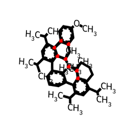 COc1ccc(-c2c(C(C)C)cc(C(C)C)c(-c3cccc(-c4c(C(C)C)cc(C(C)C)cc4C(C)C)c3P(C3CCCCC3)C3CCCCC3)c2C(C)C)cc1